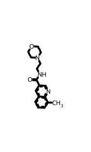 Cc1cccc2cc(C(=O)NCCN3CCOCC3)cnc12